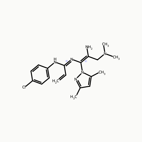 C=C/C(=N\C(=C(/N)CN(C)C)n1nc(C)cc1C)Nc1ccc(Cl)cc1